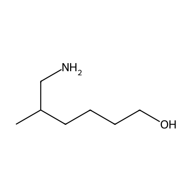 CC(CN)CCCCO